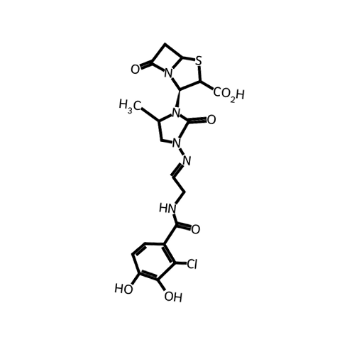 CC1CN(/N=C/CNC(=O)c2ccc(O)c(O)c2Cl)C(=O)N1[C@@H]1C(C(=O)O)SC2CC(=O)N21